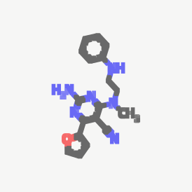 CN(CCNc1ccccc1)c1nc(N)nc(-c2ccco2)c1C#N